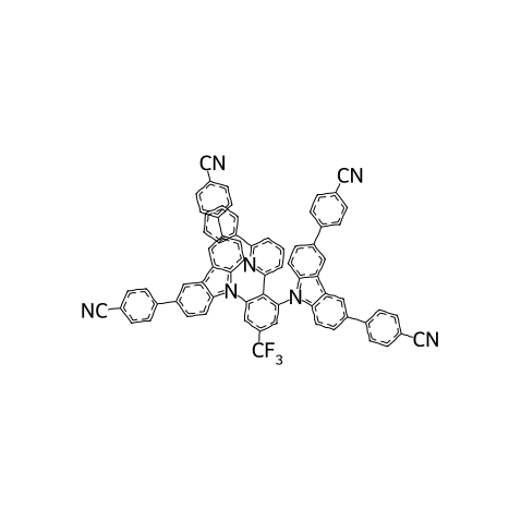 N#Cc1ccc(-c2ccc3c(c2)c2cc(-c4ccc(C#N)cc4)ccc2n3-c2cc(C(F)(F)F)cc(-n3c4ccc(-c5ccc(C#N)cc5)cc4c4cc(-c5ccc(C#N)cc5)ccc43)c2-c2cccc(-c3ccccc3)n2)cc1